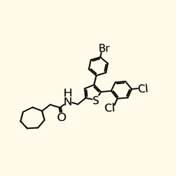 O=C(CC1CCCCCC1)NCc1cc(-c2ccc(Br)cc2)c(-c2ccc(Cl)cc2Cl)s1